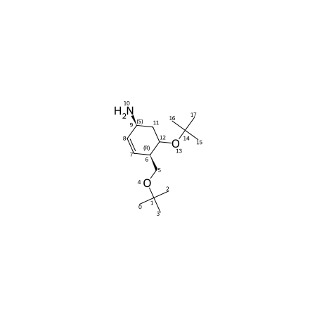 CC(C)(C)OC[C@H]1C=C[C@@H](N)CC1OC(C)(C)C